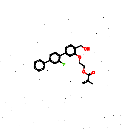 C=C(C)C(=O)OCCOc1cc(-c2ccc(-c3ccccc3)cc2F)ccc1CO